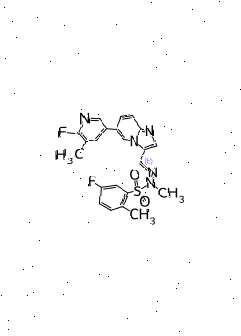 Cc1ccc(F)cc1S(=O)(=O)N(C)/N=C/c1cnc2ccc(-c3cnc(F)c(C)c3)cn12